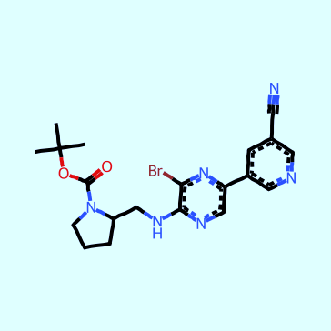 CC(C)(C)OC(=O)N1CCCC1CNc1ncc(-c2cncc(C#N)c2)nc1Br